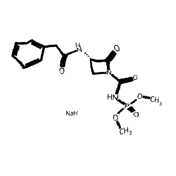 COP(=O)(NC(=O)N1C[C@H](NC(=O)Cc2ccccc2)C1=O)OC.[NaH]